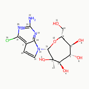 C[C@@]1(O)[C@H](O)[C@@H](O)[C@H](O)[C@@H](CO)O[C@H]1n1ccc2c(Cl)nc(N)nc21